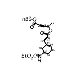 CCCCOC(=O)C#C[C@@H](C)OC(=O)/C=C/C1=CCC[C@@H](NC(=O)OCC)C1